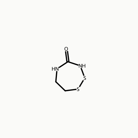 O=C1NCCSSN1